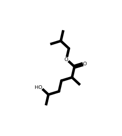 CC(C)COC(=O)C(C)CCC(C)O